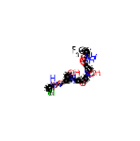 O=C(NC(=O)c1ccc2c(N=Nc3ccc(C(=O)c4ccc(N=Nc5c(O)ccc6cc(CO/N=C/ONc7cccc(Cl)c7)ccc56)cc4)cc3)c(O)ccc2c1)Nc1cccc(C(F)(F)F)c1